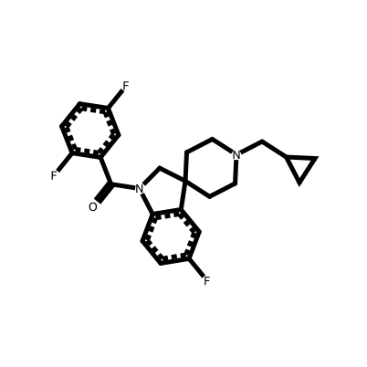 O=C(c1cc(F)ccc1F)N1CC2(CCN(CC3CC3)CC2)c2cc(F)ccc21